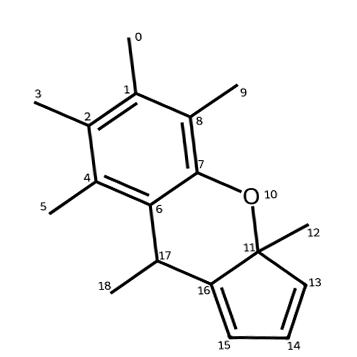 Cc1c(C)c(C)c2c(c1C)OC1(C)C=CC=C1C2C